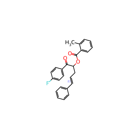 Cc1ccccc1C(=O)OC(C/C=C/c1ccccc1)C(=O)c1ccc(F)cc1